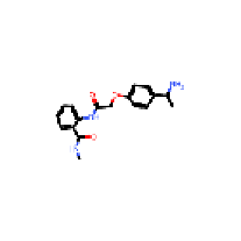 CNC(=O)c1ccccc1NC(=O)COc1ccc(C(C)N)cc1